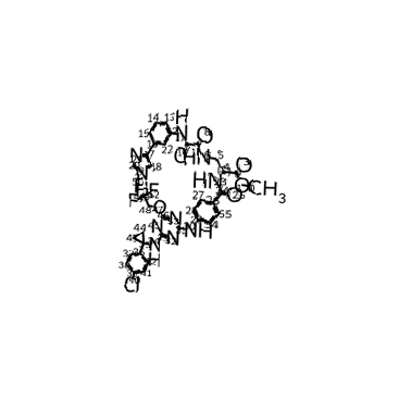 COC(=O)[C@H](CNC(=O)C(=O)Nc1cccc(-c2c[nH]cn2)c1)NC(=O)c1ccc(Nc2nc(NC3(c4ccc(Cl)cc4)CC3)nc(OCC(F)(F)F)n2)cc1